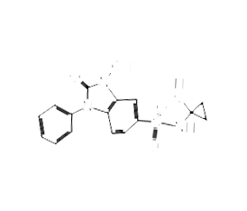 Cn1c(=O)n(-c2ccccc2)c2ccc(S(=O)(=O)NC3(C)CC3)cc21